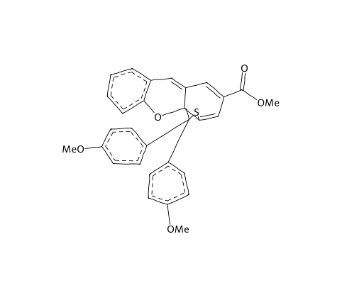 COC(=O)C1=CC2=Cc3ccccc3OC23CC(c2ccc(OC)cc2)(c2ccc(OC)cc2)SC3=C1